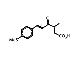 CSc1ccc(/C=C/C(=O)C(C)CC(=O)O)cc1